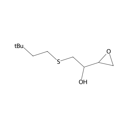 CC(C)(C)CCSCC(O)C1CO1